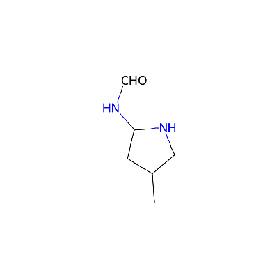 CC1CNC(NC=O)C1